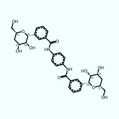 O=C(Nc1ccc(NC(=O)c2cccc([C@H]3O[C@H](CO)C[C@H](O)[C@@H]3O)c2)cc1)c1cccc([C@H]2O[C@H](CO)C[C@H](O)[C@@H]2O)c1